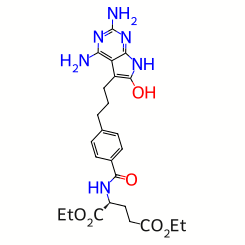 CCOC(=O)CC[C@H](NC(=O)c1ccc(CCCc2c(O)[nH]c3nc(N)nc(N)c23)cc1)C(=O)OCC